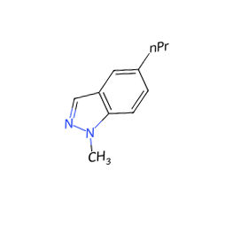 CCCc1ccc2c(cnn2C)c1